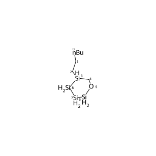 CCCCCC[SiH]1CO[SiH2][SiH2][SiH2]1